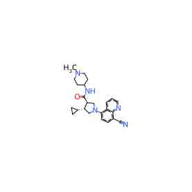 CN1CCC(NC(=O)[C@H]2CN(c3ccc(C#N)c4ncccc34)C[C@@H]2C2CC2)CC1